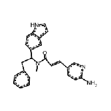 CN(C(=O)/C=C/c1ccc(N)nc1)C(Cc1ccccc1)c1ccc2[nH]ccc2c1